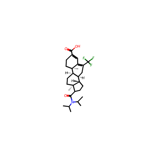 CC(C)N(C(=O)C1CC[C@H]2[C@@H]3CC(C(F)(F)F)=C4C=C(C(=O)O)CC[C@]4(C)[C@@H]3CC[C@]12C)C(C)C